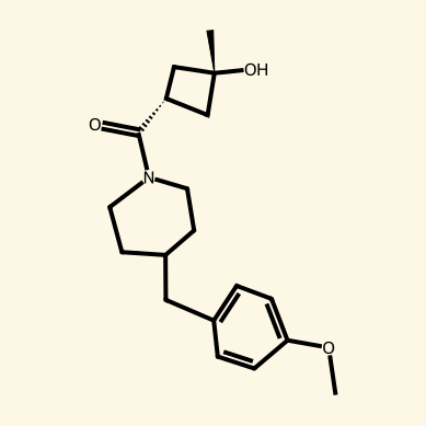 COc1ccc(CC2CCN(C(=O)[C@H]3C[C@@](C)(O)C3)CC2)cc1